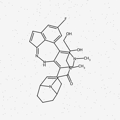 CN1C=C2C(=C(C3=CC4CCCC(C3)N4CC(=O)N(C)CC(O)CO)C1)NN=C1C=Cc3cc(F)cc2c31